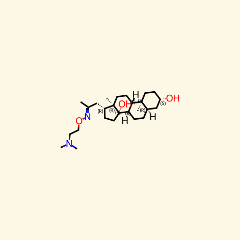 CC(C[C@H]1CC[C@]2(O)[C@@H]3CC[C@@H]4C[C@@H](O)CC[C@]4(C)[C@H]3CC[C@]12C)=NOCCN(C)C